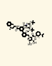 COc1c(CN2O[C@@H](CO)[C@@H]([C@H](C)O)[C@H]2C(=O)N[C@H]2CCC[C@H](C(C)C)[C@@H]2C)cccc1-c1cc(N/C(=N/C(=O)OC(C)(C)C)NC(=O)OC(C)(C)C)cc(C(=O)N[C@@H](Cc2ccccc2)CN(C)C)c1